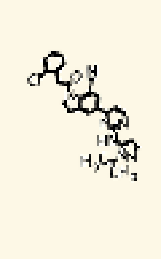 CC(C)n1nccc1Nc1nccc(-c2cc(C#N)c3c(c2)CCN3C(=O)Cc2ccccc2Cl)n1